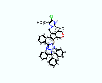 O=Cc1nc(Cl)c(C(=O)O)n1Cc1c2ccocc-2c(Br)c1-c1ccccc1-c1nnn(C(c2ccccc2)(c2ccccc2)c2ccccc2)n1